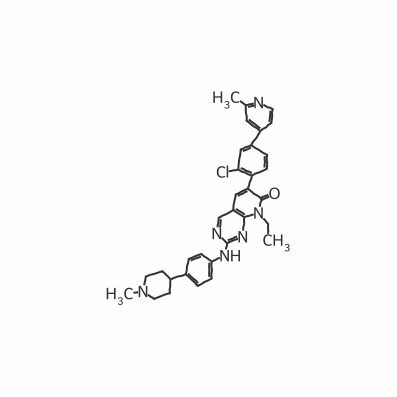 CCn1c(=O)c(-c2ccc(-c3ccnc(C)c3)cc2Cl)cc2cnc(Nc3ccc(C4CCN(C)CC4)cc3)nc21